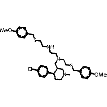 COc1ccc(CSCCNCCN(CCSCc2ccc(OC)cc2)CC2CN(C)CCC2c2ccc(Cl)cc2)cc1